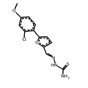 COc1ccc(-c2ccc(/C=N/NC(N)=S)o2)c(Cl)c1